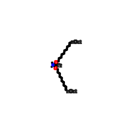 CCCCCCCCC=CCCCCCCCCOC(CC)(OCCCCCCCCC=CCCCCCCCC)N(C)C